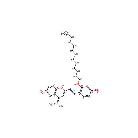 N#CC(C#N)=C1C=C(/C=C/c2ccc(O)cc2OCCCCCCCCCCCC(=O)O)Oc2ccc(O)cc21